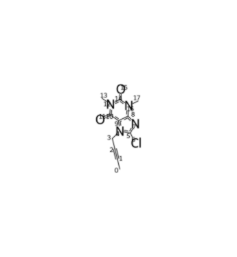 CC#CCn1c(Cl)nc2c1c(=O)n(C)c(=O)n2C